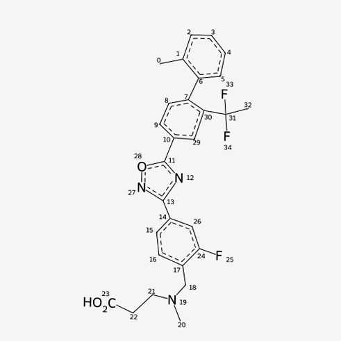 Cc1ccccc1-c1ccc(-c2nc(-c3ccc(CN(C)CCC(=O)O)c(F)c3)no2)cc1C(C)(F)F